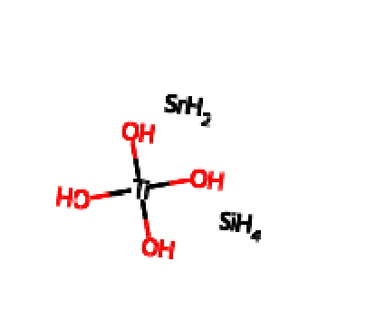 [OH][Ti]([OH])([OH])[OH].[SiH4].[SrH2]